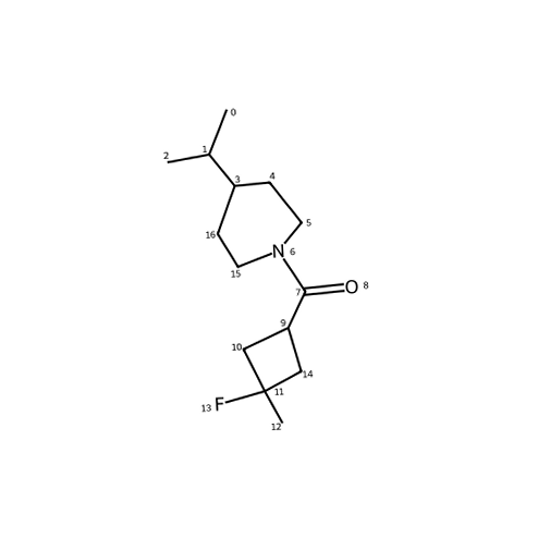 CC(C)C1CCN(C(=O)C2CC(C)(F)C2)CC1